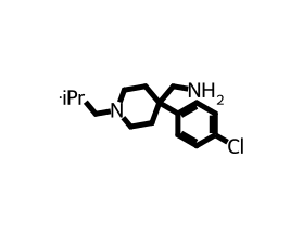 C[C](C)CN1CCC(CN)(c2ccc(Cl)cc2)CC1